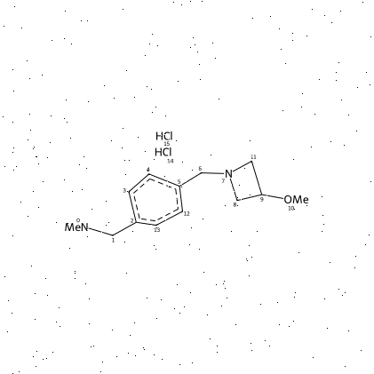 CNCc1ccc(CN2CC(OC)C2)cc1.Cl.Cl